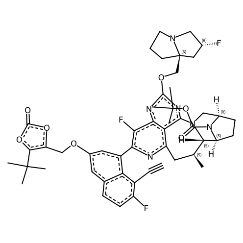 C#Cc1c(F)ccc2cc(OCc3oc(=O)oc3C(C)(C)C)cc(-c3nc4c5c(nc(OC[C@@]67CCCN6C[C@H](F)C7)nc5c3F)N3C[C@H]5CC[C@@H]([C@@H]3[C@@H](C)C4)N5C(=O)OC(C)(C)C)c12